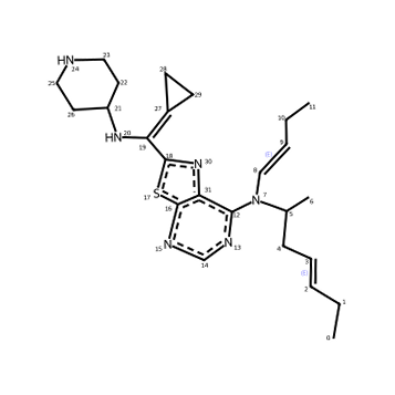 CC/C=C/CC(C)N(/C=C/CC)c1ncnc2sc(C(NC3CCNCC3)=C3CC3)nc12